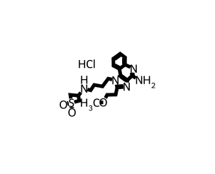 COCCc1nc2c(N)nc3ccccc3c2n1CCCCNC1CS(=O)(=O)C1.Cl